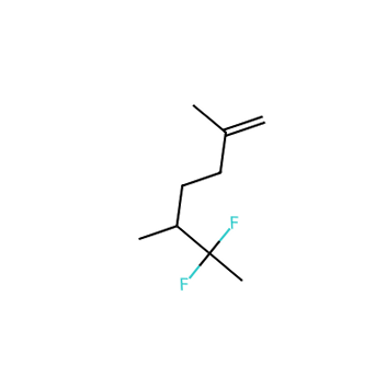 C=C(C)CCC(C)C(C)(F)F